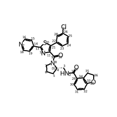 O=C(NC[C@@H]1CCCN1C(=O)c1nc(-c2ccncc2)sc1-c1cccc(Cl)c1)c1cccc2c1CCO2